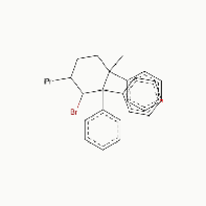 CC(C)C1CCC(C)(c2ccccc2)C(c2ccccc2)(c2ccccc2)C1Br